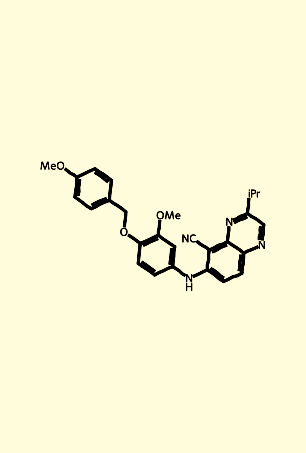 COc1ccc(COc2ccc(Nc3ccc4ncc(C(C)C)nc4c3C#N)cc2OC)cc1